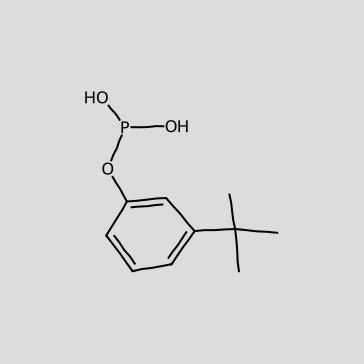 CC(C)(C)c1cccc(OP(O)O)c1